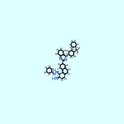 CC1(C)c2ccccc2-c2cc(-c3nc(-c4ccc5c6c(ccc5c4)C=CC(=N)/C6=N\Nc4ccccc4)nc4ccccc34)ccc21